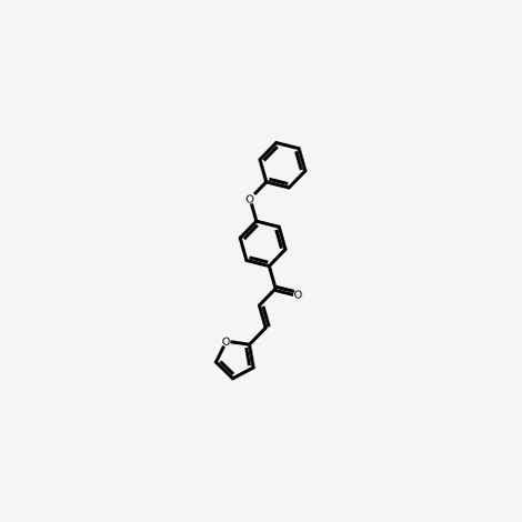 O=C(C=Cc1ccco1)c1ccc(Oc2ccccc2)cc1